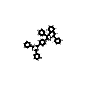 c1ccc(-c2nc(-c3ccccc3)nc(-c3ccc(-c4nn5c(-c6ccccc6)cc6ccccc6c5c4-c4ccccc4)cc3)n2)cc1